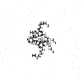 CCCCc1cc(/C=N/c2ccccc2/N=C/c2cc(CCCC)cc(CCCC)c2O)c(O)c(CCCC)c1